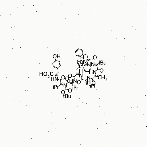 CC[C@H](C)[C@H](NC(=O)[C@@H](N)Cc1ccccc1)C(=O)N[C@@H](C)C(=O)N[C@@H](CC(C)C)C(=O)N[C@@H](Cc1c[nH]c2ccccc12)C(=O)N[C@H](C(=O)N(C(=O)OC(C)(C)C)[C@H](C(=O)N[C@@H](Cc1ccc(O)cc1)C(=O)O)C(C)C)C(C)C